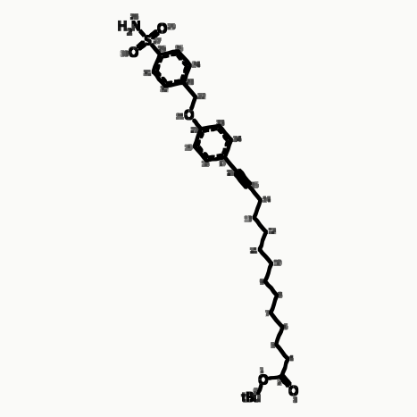 CC(C)(C)OC(=O)CCCCCCCCCCCC#Cc1ccc(OCc2ccc(S(N)(=O)=O)cc2)cc1